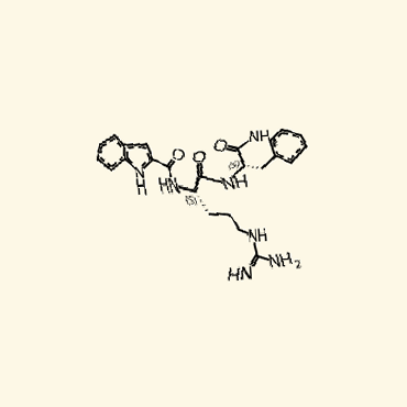 N=C(N)NCCC[C@H](NC(=O)c1cc2ccccc2[nH]1)C(=O)N[C@@H](Cc1ccccc1)C(N)=O